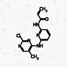 C=CC(=O)Nc1cccc(Nc2nc(Cl)ncc2C)n1